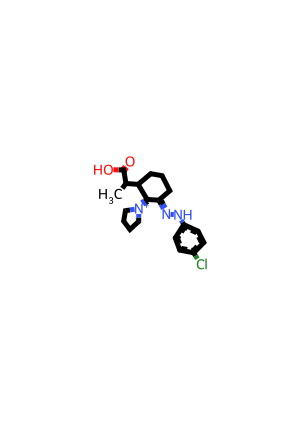 CC(C(=O)O)C1CCC/C(=N\Nc2ccc(Cl)cc2)C1=[N+]1CCCC1